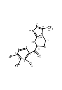 O=C(c1ccc(F)c(Cl)c1Cl)N1CCn2c(nnc2C(F)(F)F)C1